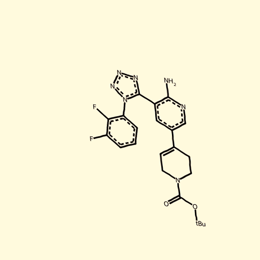 CC(C)(C)OC(=O)N1CC=C(c2cnc(N)c(-c3nnnn3-c3cccc(F)c3F)c2)CC1